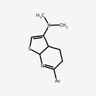 CC(=O)C1=NC2S[C]=C(N(C)C)C2CC1